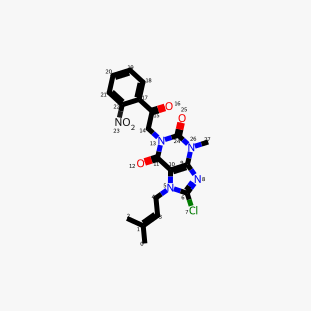 CC(C)=CCn1c(Cl)nc2c1c(=O)n(CC(=O)c1ccccc1[N+](=O)[O-])c(=O)n2C